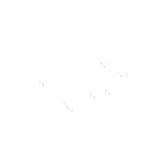 CC[C@@H](OC)[C@H]1C(=O)Nc2c(cc(NCc3cnn(Cc4ccnc(OC)c4)c3)nc2C)N1C